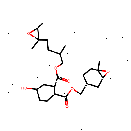 CC(CCC1(C)OC1C)COC(=O)C1CC(O)CCC1C(=O)OCC1CCC2(C)OC2C1